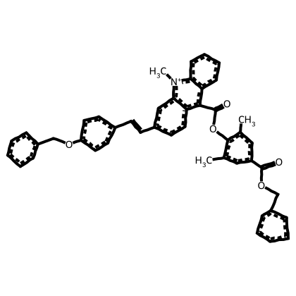 Cc1cc(C(=O)OCc2ccccc2)cc(C)c1OC(=O)c1c2ccccc2[n+](C)c2cc(C=Cc3ccc(OCc4ccccc4)cc3)ccc12